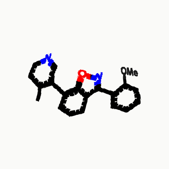 COc1ccccc1-c1noc2c(-c3cnccc3C)cccc12